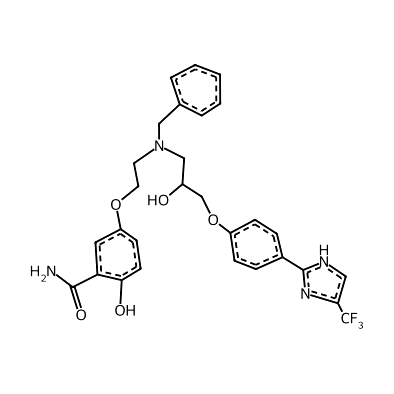 NC(=O)c1cc(OCCN(Cc2ccccc2)CC(O)COc2ccc(-c3nc(C(F)(F)F)c[nH]3)cc2)ccc1O